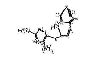 Nc1ncc(CC2C=Cc3ccccc3N2)c(N)n1